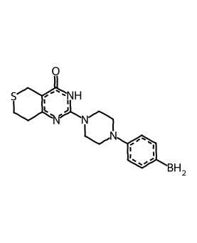 Bc1ccc(N2CCN(c3nc4c(c(=O)[nH]3)CSCC4)CC2)cc1